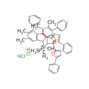 Cc1cc2c(c(-c3ccccc3)c1C)C=C(c1ccc(-c3ccccc3)o1)[CH]2[Zr]([CH3])([CH3])(=[SiH2])[CH]1C(c2ccc(-c3ccccc3)o2)=Cc2c1cc(C)c(C)c2-c1ccccc1.Cl.Cl